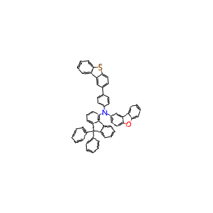 c1ccc(C2(c3ccccc3)c3ccccc3-c3c(N(c4ccc(-c5ccc6sc7ccccc7c6c5)cc4)c4ccc5oc6ccccc6c5c4)cccc32)cc1